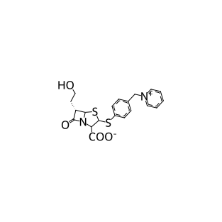 O=C([O-])C1C(Sc2ccc(C[n+]3ccccc3)cc2)SC2[C@@H](CCO)C(=O)N12